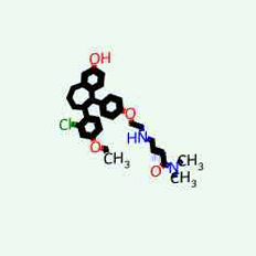 CCOc1ccc(C2=C(c3ccc(OCCNC/C=C/C(=O)N(C)C)cc3)c3ccc(O)cc3CCC2)c(Cl)c1